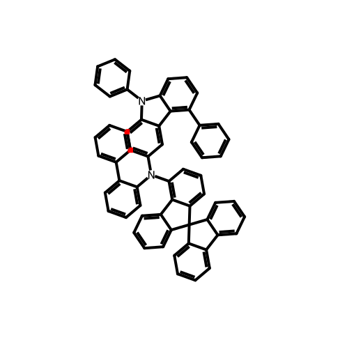 c1ccc(-c2ccccc2N(c2ccc3c(c2)c2c(-c4ccccc4)cccc2n3-c2ccccc2)c2cccc3c2-c2ccccc2C32c3ccccc3-c3ccccc32)cc1